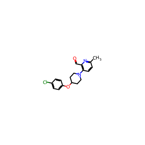 Cc1ccc(N2CCC(Oc3ccc(Cl)cc3)CC2)c(C=O)n1